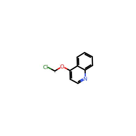 Cl[CH]Oc1ccnc2ccccc12